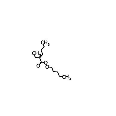 CCCCCOOC(=O)C(CC)CCCC